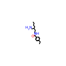 CCCCC(CN)CCNC(=O)c1ccc(CC)cc1